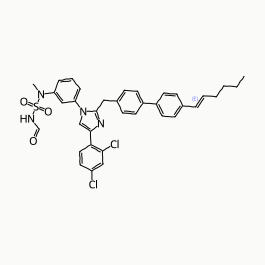 CCCC/C=C/c1ccc(-c2ccc(Cc3nc(-c4ccc(Cl)cc4Cl)cn3-c3cccc(N(C)S(=O)(=O)NC=O)c3)cc2)cc1